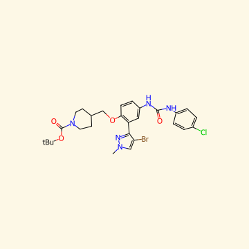 Cn1cc(Br)c(-c2cc(NC(=O)Nc3ccc(Cl)cc3)ccc2OCC2CCN(C(=O)OC(C)(C)C)CC2)n1